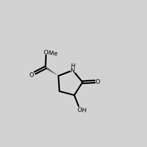 COC(=O)[C@H]1CC(O)C(=O)N1